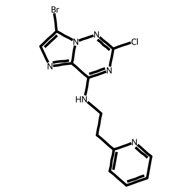 Clc1nc(NCCc2ccccn2)c2ncc(Br)n2n1